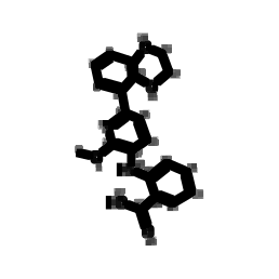 COc1nc(-c2cccc3c2OCCO3)ccc1Nc1ccccc1C(=O)O